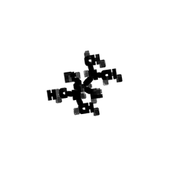 C[CH2][Sn]([CH2]C)([N](C)C)[N](C)C